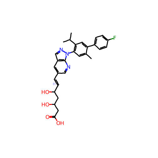 Cc1cc(-n2ncc3cc(/C=C/C(O)CC(O)CC(=O)O)cnc32)c(C(C)C)cc1-c1ccc(F)cc1